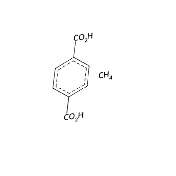 C.O=C(O)c1ccc(C(=O)O)cc1